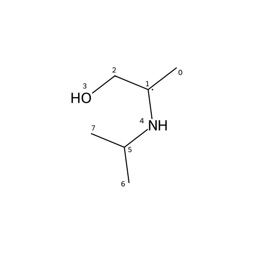 C[C](CO)NC(C)C